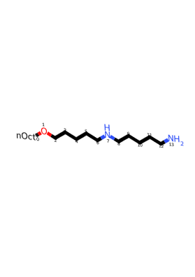 CCCCCCCCOCCCCCNCCCCCN